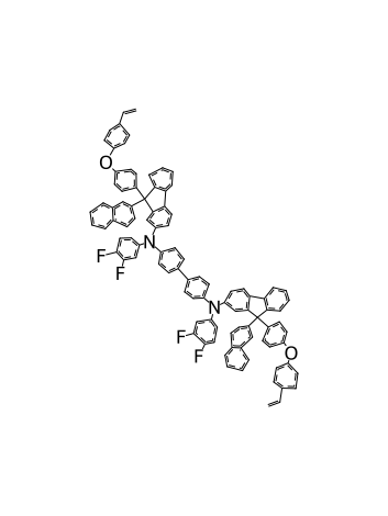 C=Cc1ccc(Oc2ccc(C3(c4ccc5ccccc5c4)c4ccccc4-c4ccc(N(c5ccc(-c6ccc(N(c7ccc(F)c(F)c7)c7ccc8c(c7)C(c7ccc(Oc9ccc(C=C)cc9)cc7)(c7ccc9ccccc9c7)c7ccccc7-8)cc6)cc5)c5ccc(F)c(F)c5)cc43)cc2)cc1